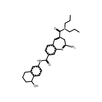 CCCN(CCC)C(=O)C1=Cc2ccc(C(=O)Nc3ccc4c(c3)CCCC4O)cc2N=C(N)C1